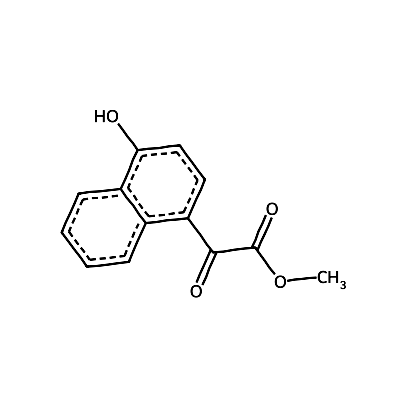 COC(=O)C(=O)c1ccc(O)c2ccccc12